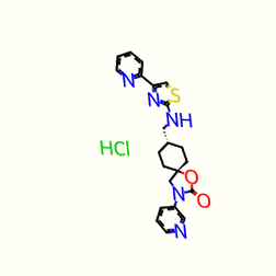 Cl.O=C1O[C@]2(CC[C@@H](CNc3nc(-c4ccccn4)cs3)CC2)CN1c1cccnc1